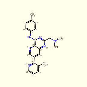 CCCN(CCC)Cc1nc(Nc2ccc(C(F)(F)F)cc2)c2ncc(-c3ncccc3C(F)(F)F)cc2n1